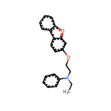 CCN(CCOc1ccc2c(c1)oc1ccccc12)c1ccccc1